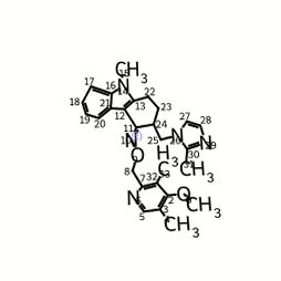 COc1c(C)cnc(CO/N=C2/c3c(n(C)c4ccccc34)CCC2Cn2ccnc2C)c1C